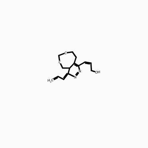 C=C/C=C1/N=NC(/C=C\CO)=C2CCCCCCC21